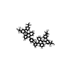 CC(C)(C)c1ccc2c(c1)c1cc(C(C)(C)C)ccc1n2-c1c2ccccc2c(-c2ccc3c(c2)oc2c(-c4c5ccccc5c(-n5c6ccc(C(C)(C)C)cc6c6cc(C(C)(C)C)ccc65)c5ccccc45)cccc23)c2ccccc12